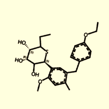 CCOc1ccc(Cc2cc([C@@H]3SC(CC)[C@@H](O)[C@@H](O)C3O)c(OC)cc2C)cc1